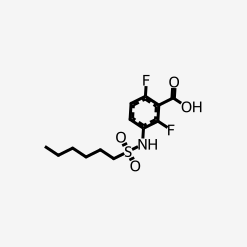 CCCCCCS(=O)(=O)Nc1ccc(F)c(C(=O)O)c1F